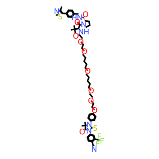 Cc1ncsc1-c1ccc(CNC(=O)[C@@H]2CCCN2C(=O)[C@@H](NC(=O)COCCOCCCCCOCCCCCOCCOCCOc2ccc(N3C(=S)N(c4ccc(C#N)c(C(F)(F)F)c4)C(=O)C3(C)C)cc2)C(C)(C)C)cc1